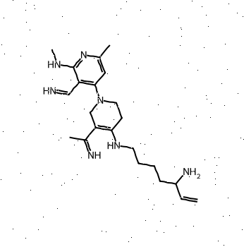 C=CC(N)CCCCNC1=C(C(C)=N)CN(c2cc(C)nc(NC)c2C=N)CC1